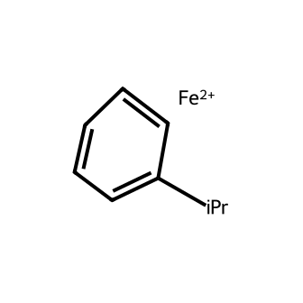 CC(C)c1ccccc1.[Fe+2]